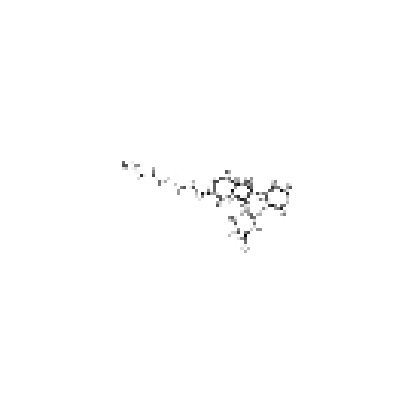 OCCCCCCOc1ccc2nc(-c3ccccc3)n(-c3ccc(Cl)cc3)c2c1